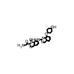 NCC(=O)N1N=Cc2ccc(Nc3ncc4cccc(O[C@H]5CC[C@@H](O)CC5)c4n3)cc2B1O